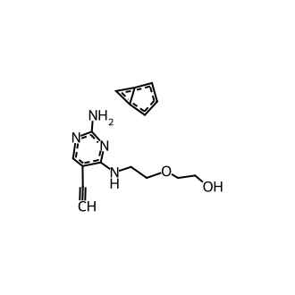 C#Cc1cnc(N)nc1NCCOCCO.c1cc2cc-2c1